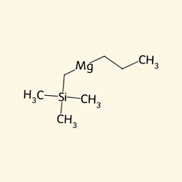 CC[CH2][Mg][CH2][Si](C)(C)C